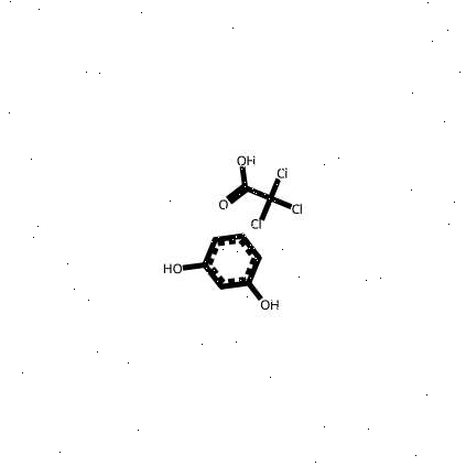 O=C(O)C(Cl)(Cl)Cl.Oc1cccc(O)c1